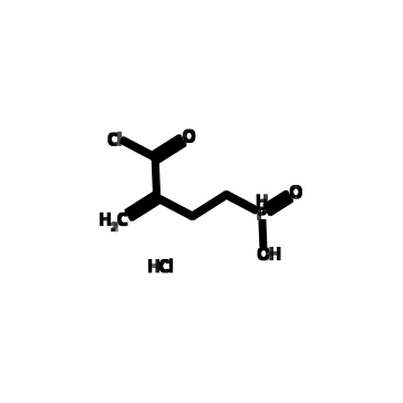 C=C(CC[PH](=O)O)C(=O)Cl.Cl